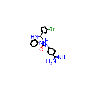 C[C@@H](Nc1ccccc1NC(=O)Nc1ccc(C(=N)N)cc1)c1cccc(Br)c1